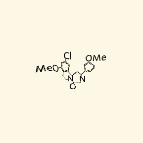 COc1cccc(C2=NCC(=O)N3CCc4c(OC)cc(Cl)cc4C3=C2)c1